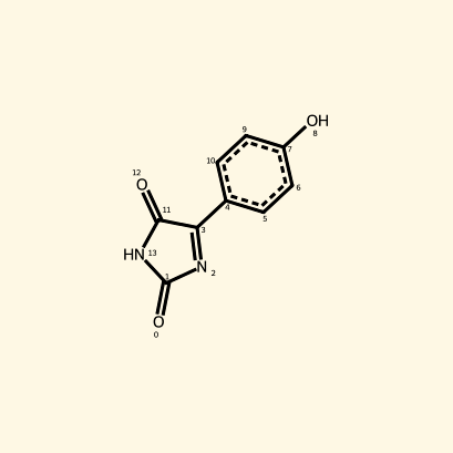 O=C1N=C(c2ccc(O)cc2)C(=O)N1